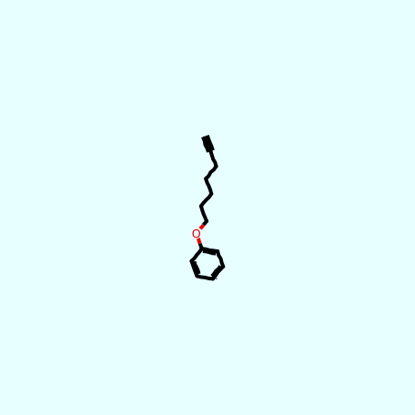 C#CCCCCCOc1cc[c]cc1